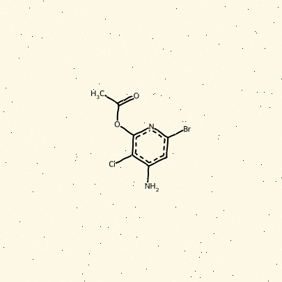 CC(=O)Oc1nc(Br)cc(N)c1Cl